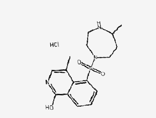 Cc1cnc(O)c2cccc(S(=O)(=O)N3CCNC(C)CC3)c12.Cl